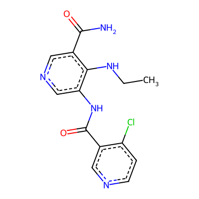 CCNc1c(NC(=O)c2cnccc2Cl)cncc1C(N)=O